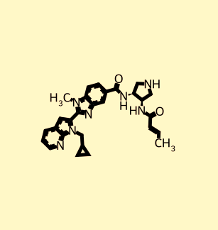 C/C=C/C(=O)N[C@@H]1CNC[C@H]1NC(=O)c1ccc2c(c1)nc(-c1cc3cccnc3n1CC1CC1)n2C